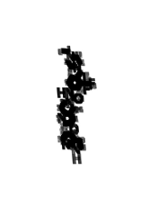 CCN1CCN(Cc2ccc(NC(=O)N3CCc4ncc(Oc5ccnc6[nH]ccc56)cc4[C@H]3C)cc2C(F)(F)F)CC1